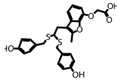 Cc1oc2c(OCC(=O)O)cccc2c1CC(SCc1ccc(O)cc1)SCc1ccc(O)cc1